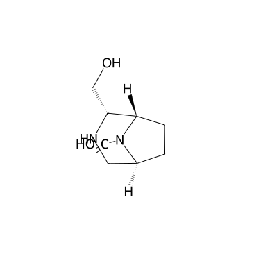 O=C(O)N1[C@H]2CC[C@H]1[C@@H](CO)NC2